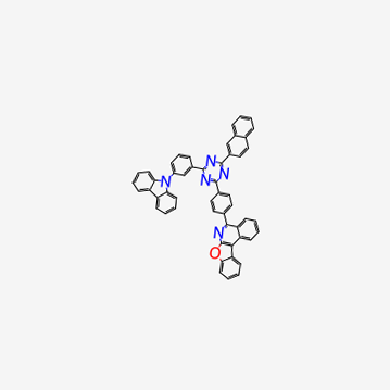 c1cc(-c2nc(-c3ccc(-c4nc5oc6ccccc6c5c5ccccc45)cc3)nc(-c3ccc4ccccc4c3)n2)cc(-n2c3ccccc3c3ccccc32)c1